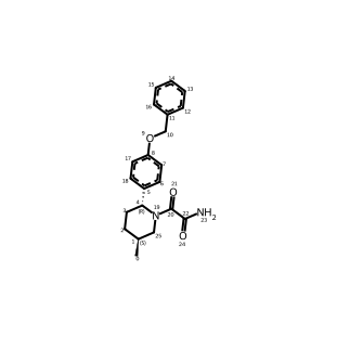 C[C@H]1CC[C@H](c2ccc(OCc3ccccc3)cc2)N(C(=O)C(N)=O)C1